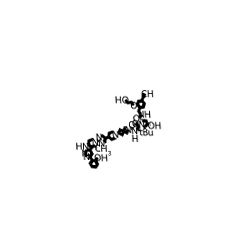 C#Cc1ccc(CNC(=O)[C@@H]2C[C@@H](O)CN2C(=O)[C@@H](NC(=O)N2CC3(CC(N4CCC(c5cnc(N6CCc7[nH]c8nnc(-c9ccccc9O)cc8c7[C@H]6C)nc5)CC4)C3)C2)C(C)(C)C)c(OCCO)c1